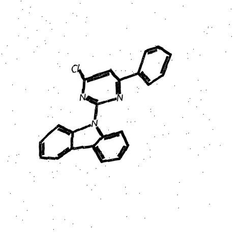 Clc1cc(-c2ccccc2)nc(-n2c3ccccc3c3ccccc32)n1